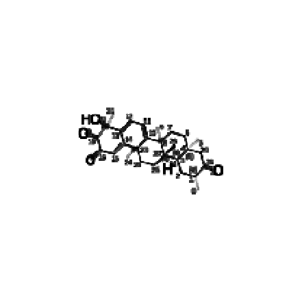 C[C@@H]1C[C@@H]2[C@@](C)(CC[C@]3(C)C4=CC=C5C(=CC(=O)C(=O)[C@@]5(C)O)[C@]4(C)CC[C@@]23C)CC1=O